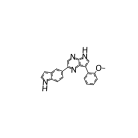 COc1ccccc1-c1c[nH]c2ncc(-c3ccc4[nH]ccc4c3)nc12